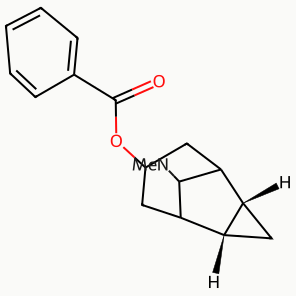 CNC1C2CC(OC(=O)c3ccccc3)CC1[C@@H]1C[C@H]21